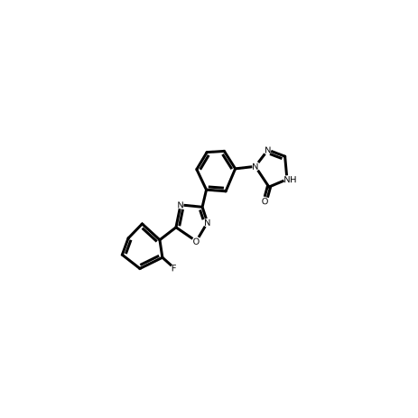 O=c1[nH]cnn1-c1cccc(-c2noc(-c3ccccc3F)n2)c1